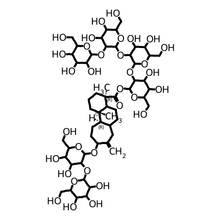 C=C1CC2CCC3[C@](C)(C(=O)OC4OC(CO)C(O)C(O)C4OC4OC(CO)C(O)C(O)C4OC4OC(CO)C(O)C(O)C4OC4OC(CO)C(O)C(O)C4O)CCC[C@@]3(C)[C@@H]2CCC1OC1OC(CO)C(O)C(O)C1OC1OC(CO)C(O)C(O)C1O